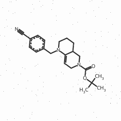 CC(C)(C)OC(=O)N1CC=C2C(CCCN2Cc2ccc(C#N)cc2)C1